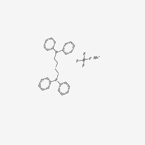 F[B-](F)(F)F.[Rh+].c1ccc(P(CCCCP(c2ccccc2)c2ccccc2)c2ccccc2)cc1